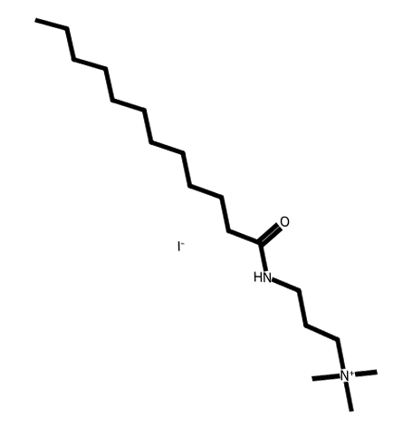 CCCCCCCCCCCC(=O)NCCC[N+](C)(C)C.[I-]